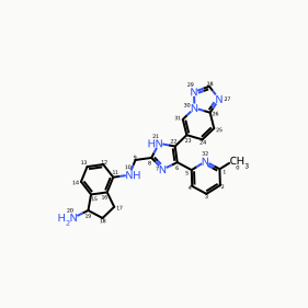 Cc1cccc(-c2nc(CNc3cccc4c3CCC4N)[nH]c2-c2ccc3ncnn3c2)n1